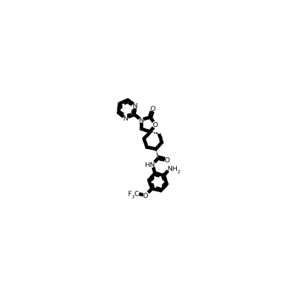 Nc1ccc(OC(F)(F)F)cc1NC(=O)[C@H]1CC[C@]2(CC1)CN(c1ncccn1)C(=O)O2